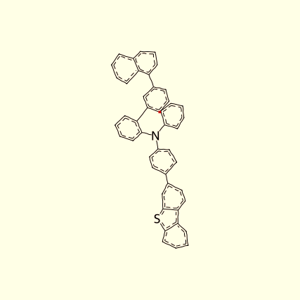 c1ccc(N(c2ccc(-c3ccc4c(c3)sc3ccccc34)cc2)c2ccccc2-c2cccc(-c3cccc4ccccc34)c2)cc1